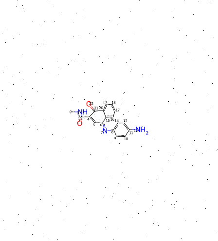 CNC(=O)C1=C/C(=N/c2ccc(N)cc2)c2ccccc2C1=O